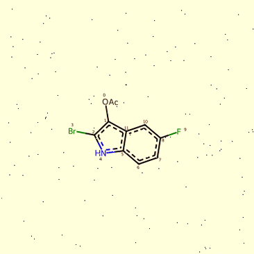 CC(=O)Oc1c(Br)[nH]c2ccc(F)cc12